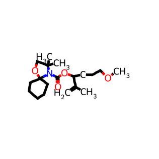 C=C(C)C(CCCOC)OC(=O)N1C(C)(C)COC12CCCCC2